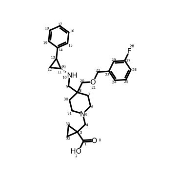 O=C(O)C1(CN2CCC(CN[C@@H]3CC3c3ccccc3)(COCc3cccc(F)c3)CC2)CC1